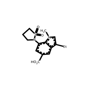 CCc1cn(C)c2c(N3CCCS3(=O)=O)cc(C(=O)O)cc12